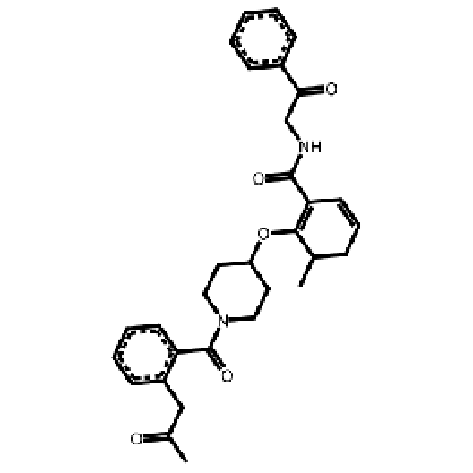 CC(=O)Cc1ccccc1C(=O)N1CCC(OC2=C(C(=O)NCC(=O)c3ccccc3)C=CCC2C)CC1